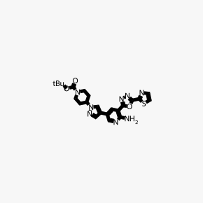 CC(C)(C)OC(=O)N1CCC(n2cc(-c3cnc(N)c(-c4nnc(-c5nccs5)o4)c3)cn2)CC1